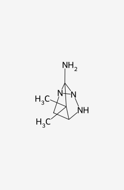 CC1(C)C2CN3N(N2)C31N